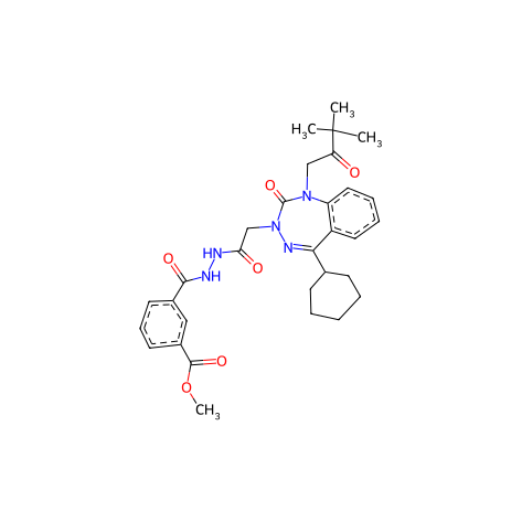 COC(=O)c1cccc(C(=O)NNC(=O)CN2N=C(C3CCCCC3)c3ccccc3N(CC(=O)C(C)(C)C)C2=O)c1